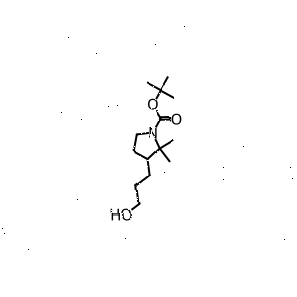 CC(C)(C)OC(=O)N1CCC(CCCO)C1(C)C